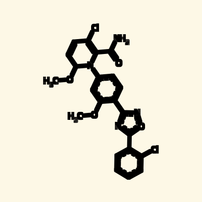 COc1cc(N2C(C(N)=O)=C(Cl)C=CC2OC)ccc1-c1noc(-c2ccccc2Cl)n1